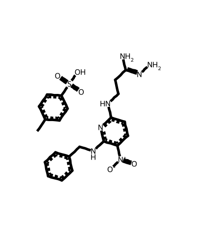 Cc1ccc(S(=O)(=O)O)cc1.NN=C(N)CCNc1ccc([N+](=O)[O-])c(NCc2ccccc2)n1